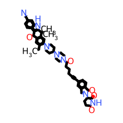 CCc1cc2c(cc1N1CCC(N3CCN(C(=O)CCCC#Cc4ccc5c(c4)CN(C4CCC(=O)NC4=O)C5=O)CC3)CC1)C(C)(C)c1[nH]c3cc(C#N)ccc3c1C2=O